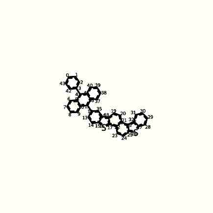 c1ccc(-c2c3ccccc3c(-c3ccc4sc5c(ccc6c5ccc5sc7ccccc7c56)c4c3)c3ccccc23)cc1